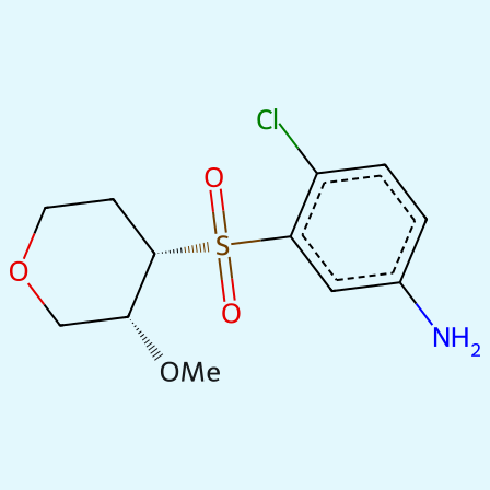 CO[C@@H]1COCC[C@@H]1S(=O)(=O)c1cc(N)ccc1Cl